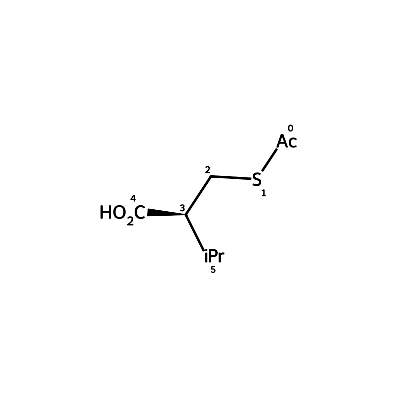 CC(=O)SC[C@H](C(=O)O)C(C)C